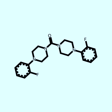 O=C(N1CCN(c2ccccc2F)CC1)N1CCN(c2ccccc2F)CC1